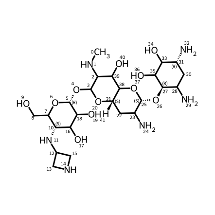 CNC1C(O[C@H]2OC(CO)[C@@H](NC3CNC3)C(O)C2O)O[C@H]2CC(N)[C@@H](O[C@@H]3C(N)C[C@@H](N)C(O)C3O)OC2C1O